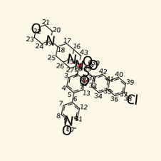 O=C(c1ccc(-c2cc[n+]([O-])cc2)cc1)N1C2CC(N3CCOCC3)CC1CN(S(=O)(=O)c1ccc3cc(Cl)ccc3c1)C2